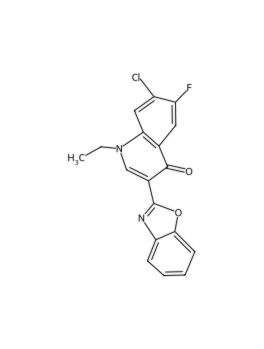 CCn1cc(-c2nc3ccccc3o2)c(=O)c2cc(F)c(Cl)cc21